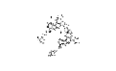 CC1(C)CCc2c(N3CCCC3)nc3sc4c(NCCCN5CCCC5=O)ncnc4c3c2C1.CC1(C)CCc2c(N3CCCC3)nc3sc4c(NCCc5c[nH]cn5)ncnc4c3c2C1